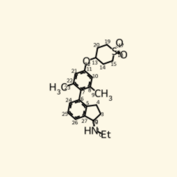 CCN[C@@H]1CCc2c(-c3c(C)cc(OC4CCS(=O)(=O)CC4)cc3C)cccc21